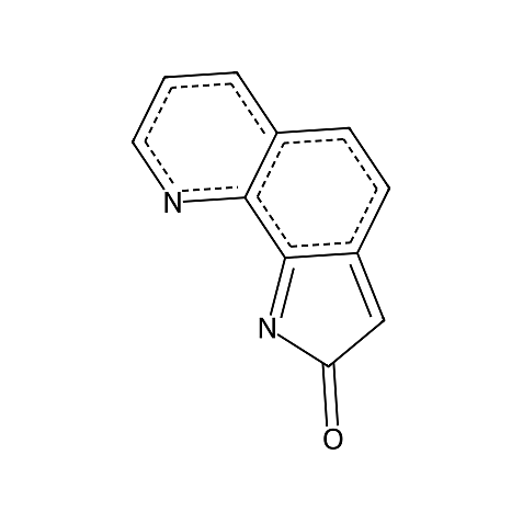 O=C1C=c2ccc3cccnc3c2=N1